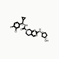 O=C(N[C@@H](c1ccc(F)c(Cl)c1)C1CC1)N1CCc2cnc(N[C@H]3CC[C@H](O)C3)nc2C1